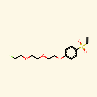 C=CS(=O)(=O)c1ccc(OCCOCCOCCF)cc1